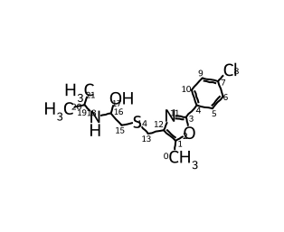 Cc1oc(-c2ccc(Cl)cc2)nc1CSCC(O)NC(C)C